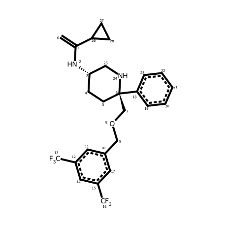 C=C(N[C@H]1CC[C@@](COCc2cc(C(F)(F)F)cc(C(F)(F)F)c2)(c2ccccc2)NC1)C1CC1